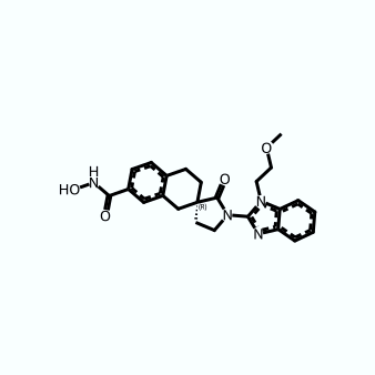 COCCn1c(N2CC[C@]3(CCc4ccc(C(=O)NO)cc4C3)C2=O)nc2ccccc21